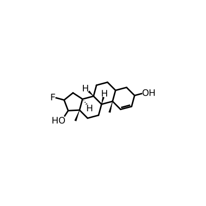 C[C@]12C=CC(O)CC1CC[C@@H]1[C@H]2CC[C@]2(C)C(O)C(F)C[C@@H]12